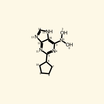 ON(O)c1nc(C2CCCC2)nc2nc[nH]c12